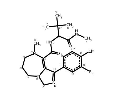 CNC(=O)C(NC(=O)C1=C2C(c3ccc(Cl)c(F)c3)=NCN2CCCN1C)C(C)(C)C